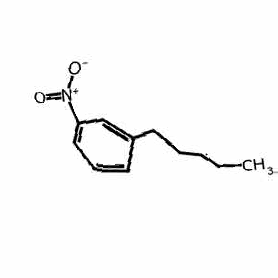 CC[CH]CCc1cccc([N+](=O)[O-])c1